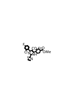 CCOC(=O)C1=C(C2CCC(C(=O)OC)CC2)NC(c2nccs2)=NC1c1ccc(F)cc1Cl